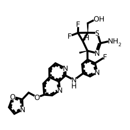 C[C@]1(c2cc(Nc3nccc4cc(OCc5ncco5)cnc34)cnc2F)N=C(N)S[C@]2(CO)[C@@H]1C2(F)F